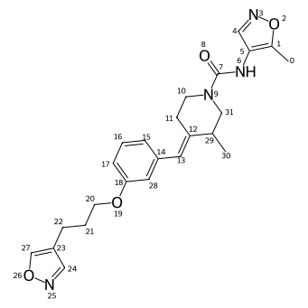 Cc1oncc1NC(=O)N1CCC(=Cc2cccc(OCCCc3cnoc3)c2)C(C)C1